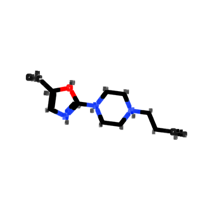 COCCN1CCN(c2ncc(C=O)o2)CC1